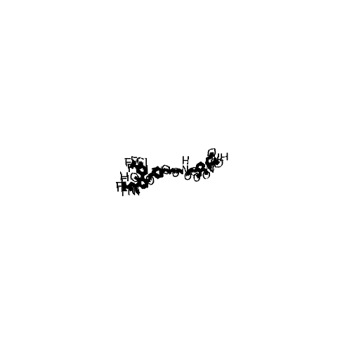 CN(C(=O)c1cccc(OCC(=O)NCCOCCOc2ccc(COc3ccc(-c4cc(C(F)(F)F)nn4C)c(O)c3-c3ccc(Cl)c(C(F)(F)F)c3)cc2)c1C=O)C1CCC(=O)NC1=O